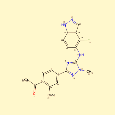 CNC(=O)c1ccc(-c2nc(Nc3ccc4[nH]ncc4c3Cl)n(C)n2)cc1OC